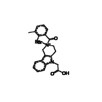 Cc1cccc(C(=O)[N+]2(Br)CCc3c(c4ccccc4n3CC(=O)O)C2)c1Br